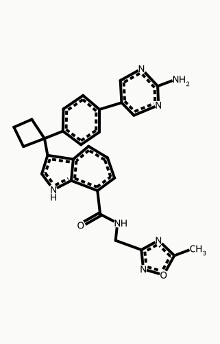 Cc1nc(CNC(=O)c2cccc3c(C4(c5ccc(-c6cnc(N)nc6)cc5)CCC4)c[nH]c23)no1